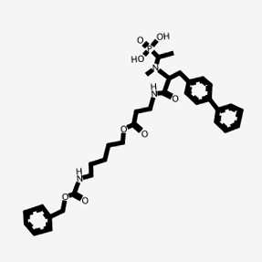 CC(N(C)C(Cc1ccc(-c2ccccc2)cc1)C(=O)NCCC(=O)OCCCCCNC(=O)OCc1ccccc1)P(=O)(O)O